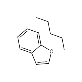 CCCCC.c1ccc2occc2c1